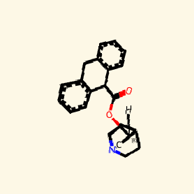 O=C(O[C@H]1CN2CCC1CC2)C1c2ccccc2Cc2ccccc21